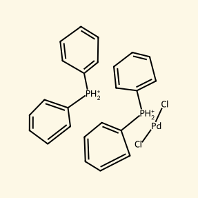 [Cl][Pd][Cl].c1ccc([PH2+]c2ccccc2)cc1.c1ccc([PH2+]c2ccccc2)cc1